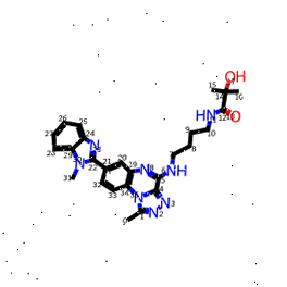 Cc1nnc2c(NCCCCNC(=O)C(C)(C)O)nc3cc(-c4nc5ccccc5n4C)ccc3n12